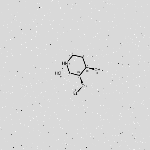 CCO[C@H]1CNCC[C@H]1O.Cl